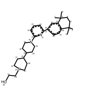 CC1(C)CCC(C)(C)c2cc(-c3cccc(N4CCC(C5CCN(CCO)CC5)CC4)n3)ccc21